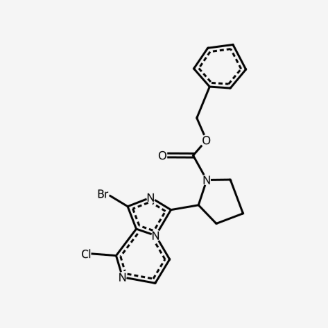 O=C(OCc1ccccc1)N1CCCC1c1nc(Br)c2c(Cl)nccn12